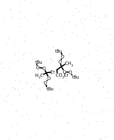 CCC(C)(OOC(C)(C)C)OOC(C)(C)C.CCOC(=O)CC(C)(OOC(C)(C)C)OOC(C)(C)C